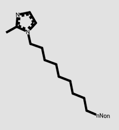 CCCCCCCCCCCCCCCCCCn1ccnc1C